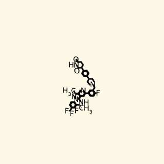 Cc1nnc(N[C@H](C)c2cccc(C(F)F)c2F)c2cc(-c3ccc(F)c(CN4CCC(c5ccc(C6CCC(=O)NC6=O)cc5)CC4)c3)ncc12